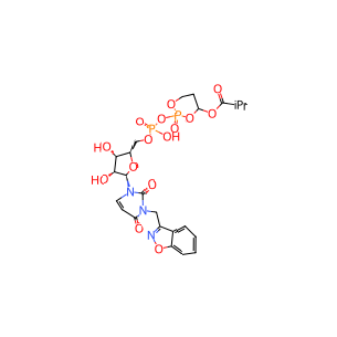 CC(C)C(=O)OC1CCOP(=O)(OP(=O)(O)OC[C@H]2O[C@@H](n3ccc(=O)n(Cc4noc5ccccc45)c3=O)[C@@H](O)[C@H]2O)O1